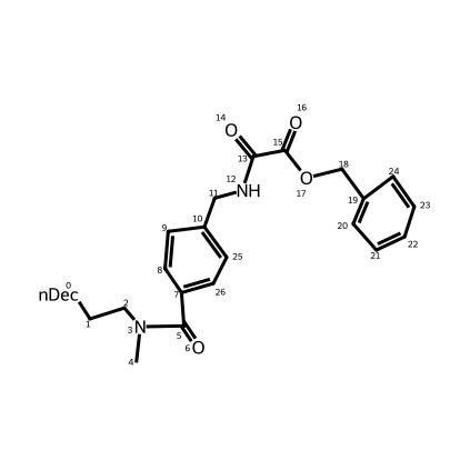 CCCCCCCCCCCCN(C)C(=O)c1ccc(CNC(=O)C(=O)OCc2ccccc2)cc1